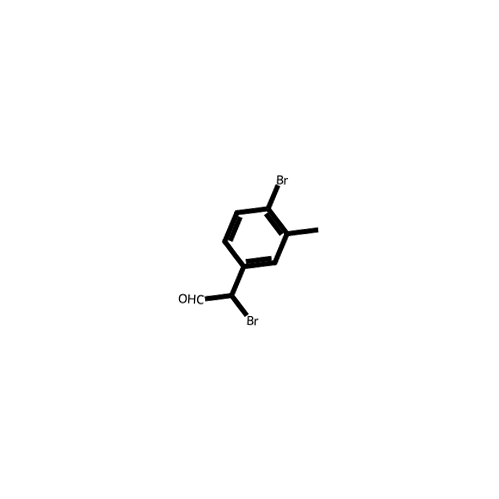 Cc1cc(C(Br)C=O)ccc1Br